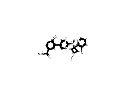 CNC(=O)c1ccc(O)c(-c2cnc(N(C)[C@]3(c4ncccc4F)C[C@@H](F)C3)nc2)c1